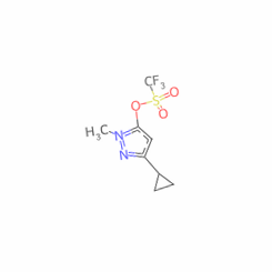 Cn1nc(C2CC2)cc1OS(=O)(=O)C(F)(F)F